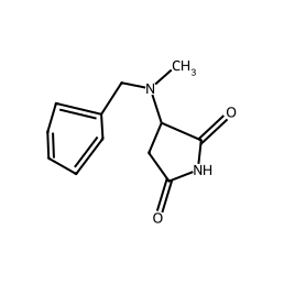 CN(Cc1ccccc1)C1CC(=O)NC1=O